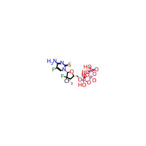 Nc1nc(=S)n([C@@H]2O[C@H](COP(=O)(O)OP(=O)(O)OP(=O)(O)O)CC2(F)C(F)(F)F)cc1F